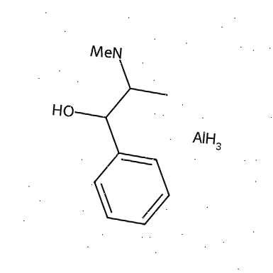 CNC(C)C(O)c1ccccc1.[AlH3]